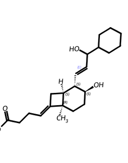 C[C@@]12CC[C@H](O)[C@@H](/C=C/C(O)C3CCCCC3)[C@@H]1CC2=CCCC(=O)O